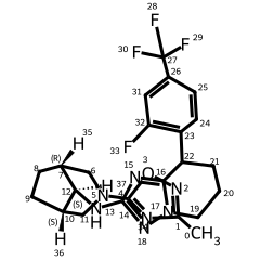 Cc1noc(N2C[C@H]3CC[C@@H](C2)[C@@H]3Nc2nc3n(n2)CCCC3c2ccc(C(F)(F)F)cc2F)n1